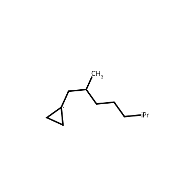 CC(C)CCCC(C)C[C]1CC1